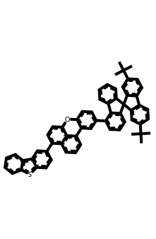 CC(C)(C)c1ccc2c(c1)C1(c3cc(C(C)(C)C)ccc3-2)c2ccccc2-c2c(-c3ccc4c(c3)-c3cccc5c(-c6ccc7sc8ccccc8c7c6)ccc(c35)O4)cccc21